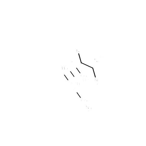 CC(=O)O.CC(=O)O.CC(=O)O.CC(=O)O.NCCN.[H-].[H-].[Na+].[Na+]